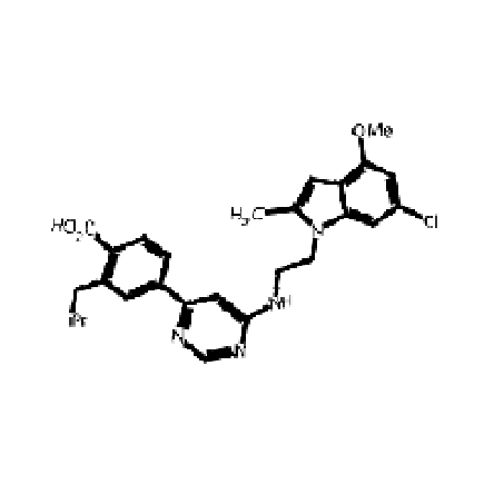 COc1cc(Cl)cc2c1cc(C)n2CCNc1cc(-c2ccc(C(=O)O)c(CC(C)C)c2)ncn1